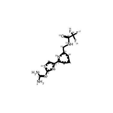 NC(N)=Nc1nc(-c2cccc(CNC(=O)C(F)(F)F)n2)cs1